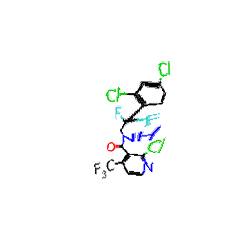 O=C(NCC(F)(F)c1ccc(Cl)cc1Cl)c1c(C(F)(F)F)ccnc1Cl